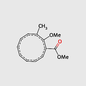 COC(=O)c1cccccccc(C)c1OC